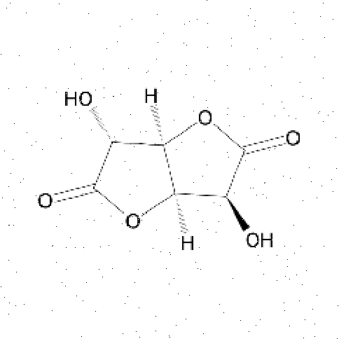 O=C1O[C@H]2[C@H](OC(=O)[C@@H]2O)[C@@H]1O